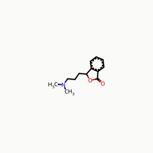 CN(C)CCCC1OC(=O)c2ccccc21